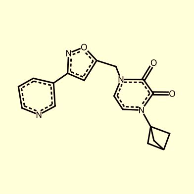 O=c1c(=O)n(C23CC(C2)C3)ccn1Cc1cc(-c2cccnc2)no1